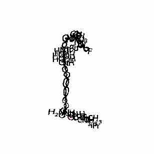 CC(C)CCC[C@@H](C)[C@H]1CC[C@H]2[C@@H]3CC[C@@H]4C[C@@H](OC(=O)C[C@H](NC(=O)CCOCCOCCOCCOCCOCCOCCNC(=O)[C@@H](O)[C@H](O)[C@H](O)[C@@H](O)C(=O)NC5CCC(C(=O)N6CCN(C(=O)c7cn8nc(-c9ccc(F)cc9)cc(C(C)(C)C)c8n7)C(C)(C)C6)CC5)C(N)=O)CC[C@]4(C)C3CC[C@]12C